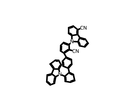 N#Cc1c(-c2ccc(-c3ccccc3-n3c4ccccc4c4ccccc43)cc2)cccc1-n1c2ccccc2c2c(C#N)cccc21